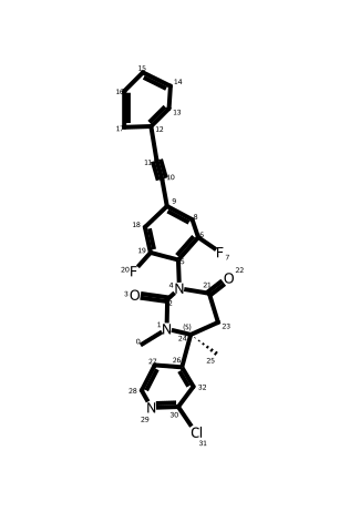 CN1C(=O)N(c2c(F)cc(C#Cc3ccccc3)cc2F)C(=O)C[C@@]1(C)c1ccnc(Cl)c1